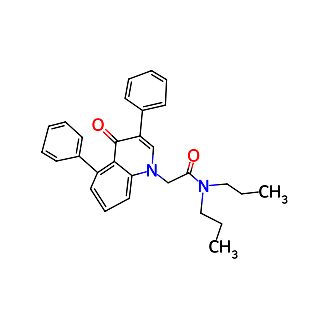 CCCN(CCC)C(=O)Cn1cc(-c2ccccc2)c(=O)c2c(-c3ccccc3)cccc21